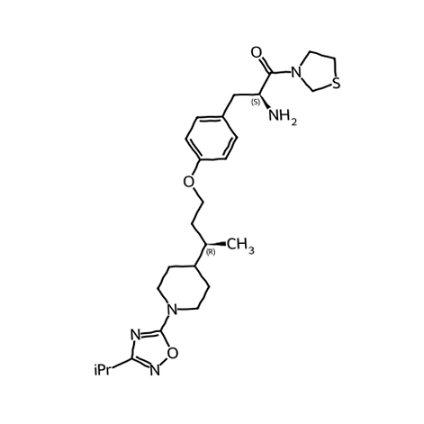 CC(C)c1noc(N2CCC([C@H](C)CCOc3ccc(C[C@H](N)C(=O)N4CCSC4)cc3)CC2)n1